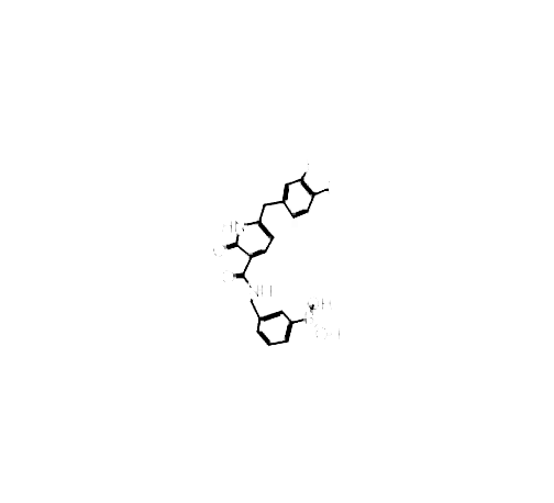 O=C(NCc1cccc(B(O)O)c1)c1ccc(Cc2ccc(F)c(F)c2)[nH]c1=O